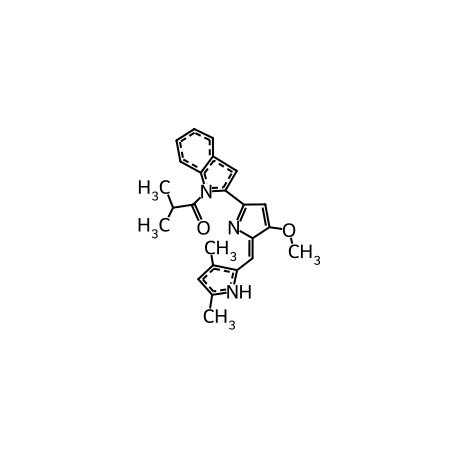 COC1=CC(c2cc3ccccc3n2C(=O)C(C)C)=NC1=Cc1[nH]c(C)cc1C